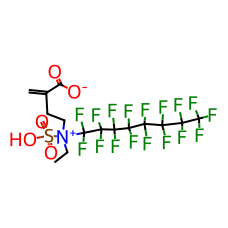 C=C(CC[N+](CC)(C(F)(F)C(F)(F)C(F)(F)C(F)(F)C(F)(F)C(F)(F)C(F)(F)C(F)(F)F)S(=O)(=O)O)C(=O)[O-]